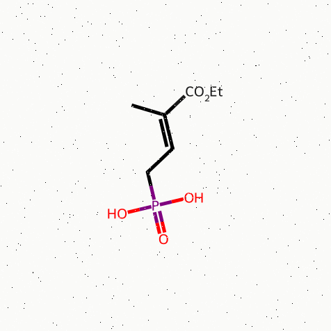 CCOC(=O)C(C)=CCP(=O)(O)O